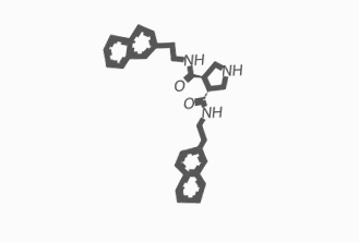 O=C(NCCc1ccc2ccccc2c1)[C@H]1CNC[C@@H]1C(=O)NCCc1ccc2ccccc2c1